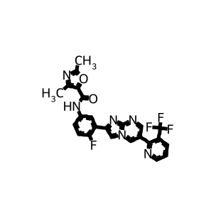 Cc1nc(C)c(C(=O)Nc2ccc(F)c(-c3cn4cc(-c5ncccc5C(F)(F)F)cnc4n3)c2)o1